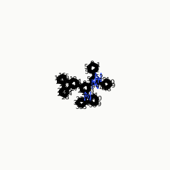 c1ccc(-c2cc(-c3cc(-c4ccc5c6ccccc6c6ccccc6c5c4)cc(-n4c5ccccc5c5ccccc54)c3)nc(-c3ccccc3)n2)cc1